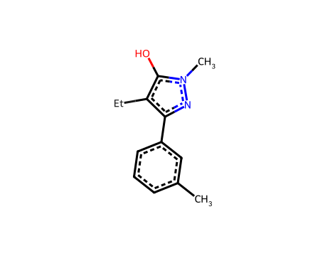 CCc1c(-c2cccc(C)c2)nn(C)c1O